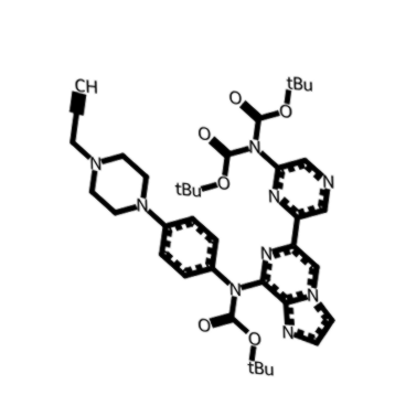 C#CCN1CCN(c2ccc(N(C(=O)OC(C)(C)C)c3nc(-c4cncc(N(C(=O)OC(C)(C)C)C(=O)OC(C)(C)C)n4)cn4ccnc34)cc2)CC1